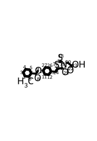 Cc1ccccc1C(=O)Oc1ccc(/C=C2\SC(=S)N(CC(=O)O)C2=O)cc1